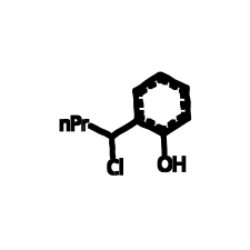 CCCC(Cl)c1ccccc1O